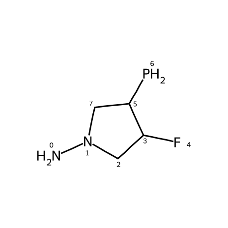 NN1CC(F)C(P)C1